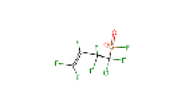 O=S(=O)(F)C(F)(Cl)C(F)(F)C(F)=C(F)F